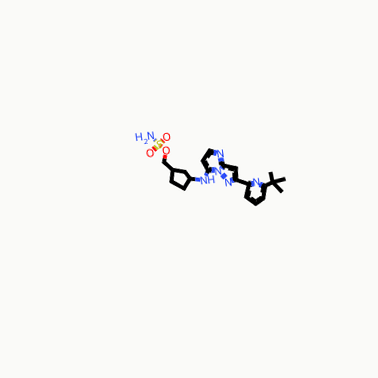 CC(C)(C)c1cccc(-c2cc3nccc(NC4CCC(COS(N)(=O)=O)C4)n3n2)n1